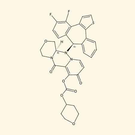 O=C(Oc1c2n(ccc1=O)N([C@@H]1c3ccccc3-c3sccc3-c3c1ccc(F)c3F)[C@@H]1COCCN1C2=O)OC1CCOCC1